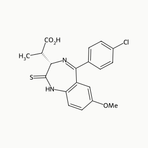 COc1ccc2c(c1)C(c1ccc(Cl)cc1)=N[C@@H](C(C)C(=O)O)C(=S)N2